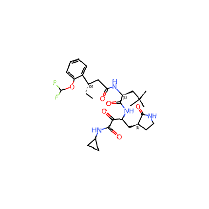 CC[C@@H](CC(=O)N[C@@H](CC(C)(C)C)C(=O)NC(C[C@@H]1CCNC1=O)C(=O)C(=O)NC1CC1)c1ccccc1OC(F)F